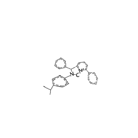 CC(C)c1ccc(N2[CH-][n+]3c(-c4ccccc4)cccc3C2c2ccccc2)cc1